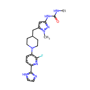 CCNC(=O)Nc1cc(CC2CCN(c3ccc(-c4ncc[nH]4)nc3F)CC2)n(C)n1